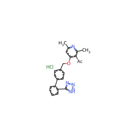 CC(=O)c1c(OCc2ccc(-c3ccccc3-c3nnn[nH]3)cc2)cc(C)nc1C.Cl